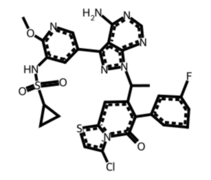 COc1ncc(-c2nn(C(C)c3cc4scc(Cl)n4c(=O)c3-c3cccc(F)c3)c3ncnc(N)c23)cc1NS(=O)(=O)C1CC1